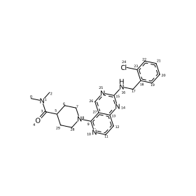 CN(C)C(=O)C1CCN(c2nccc3nc(NCc4ccccc4Cl)ncc23)CC1